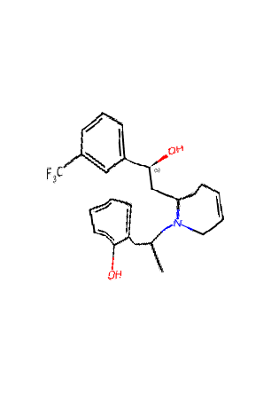 CC(c1ccccc1O)N1CC=CCC1C[C@H](O)c1cccc(C(F)(F)F)c1